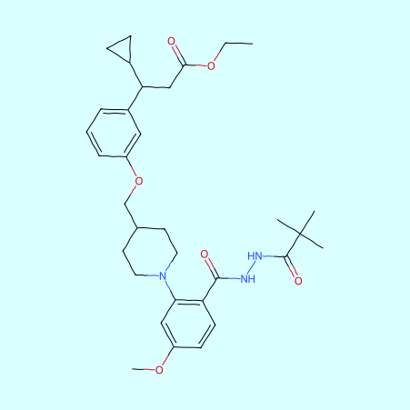 CCOC(=O)CC(c1cccc(OCC2CCN(c3cc(OC)ccc3C(=O)NNC(=O)C(C)(C)C)CC2)c1)C1CC1